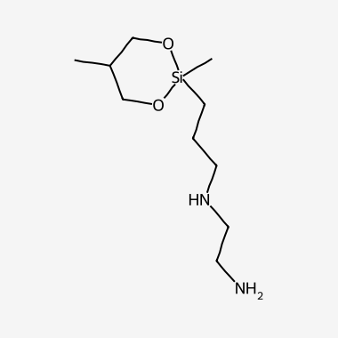 CC1CO[Si](C)(CCCNCCN)OC1